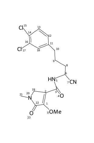 COC1=C(C(=O)NC(C#N)CCCc2ccc(Cl)c(Cl)c2)CN(C)C1=O